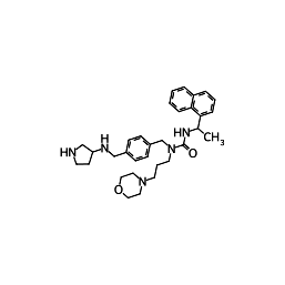 CC(NC(=O)N(CCCN1CCOCC1)Cc1ccc(CNC2CCNC2)cc1)c1cccc2ccccc12